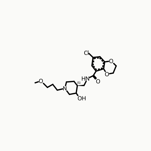 COCCCN1CC[C@@H](CNC(=O)c2cc(Cl)cc3c2OCCO3)C(O)C1